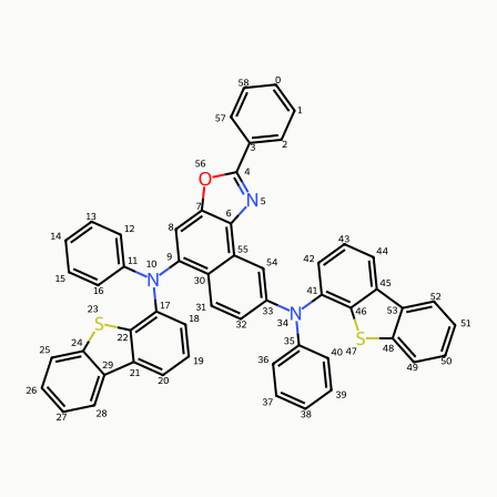 c1ccc(-c2nc3c(cc(N(c4ccccc4)c4cccc5c4sc4ccccc45)c4ccc(N(c5ccccc5)c5cccc6c5sc5ccccc56)cc43)o2)cc1